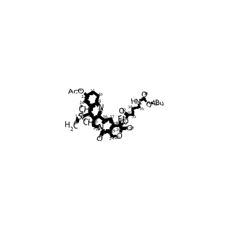 C=C[Si](C)(C)c1c2c(nc3ccc(OC(C)=O)cc13)-c1cc3c(c(=O)n1C2)COC(=O)C3(CC)OC(=O)CCCNC(=O)OC(C)(C)C